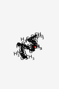 CC[C@@]1(OC(=O)N(C)C[C@@H]2CCCN2C(=O)OCc2ccc(NC(=O)CNC(=O)[C@H](Cc3ccccc3)NC(=O)CNC(=O)CNC(=O)c3cc(N4C(=O)CC(SC)C4=O)ccc3C)cc2)C(=O)OCc2c1cc1n(c2=O)Cc2c-1nc1cc(F)c(C)c3c1c2[C@@H](NC(=O)CCC(C)C)CC3